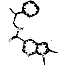 Cc1cc2cc(C(=O)NCC(C)c3ccccc3)cnc2n1C